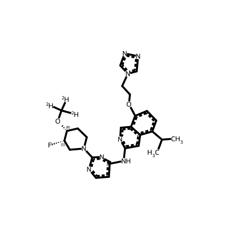 [2H]C([2H])([2H])O[C@@H]1CCN(c2nccc(Nc3cc4c(C(C)C)ccc(OCCn5cnnc5)c4cn3)n2)C[C@@H]1F